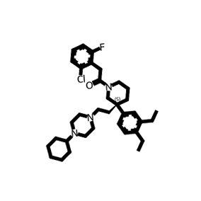 CCc1ccc([C@@]2(CCN3CCN(C4CCCCC4)CC3)CCCN(C(=O)Cc3c(F)cccc3Cl)C2)cc1CC